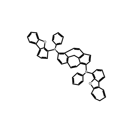 C1=Cc2oc3c(N(c4ccccc4)c4ccc5c6c4C=Cc4ccc(N(c7ccccc7)c7cccc8c7oc7ccccc78)c(c4C6)C=C5)cccc3c2C=CC1